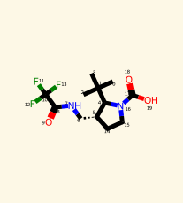 CC(C)(C)C1[C@@H](CNC(=O)C(F)(F)F)CCN1C(=O)O